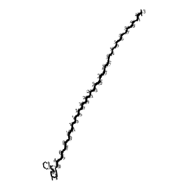 Cl[SiH](Cl)CCCCCCCCCCCCCCCCCCCCCCCCCCCCCCCCCCCCCCCCI